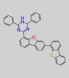 c1ccc(C2=NC(c3cccc4c3oc3cc(-c5cccc6c5sc5ccccc56)ccc34)=NC(c3ccccc3)N2)cc1